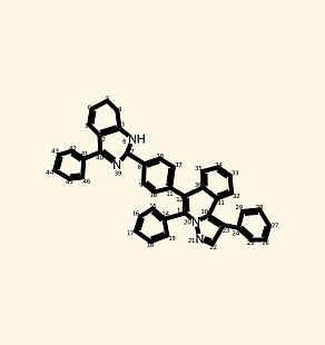 C1=CC2=C(CC1)NC(c1ccc(-c3c(-c4ccccc4)n4ncc(-c5ccccc5)c4c4ccccc34)cc1)N=C2c1ccccc1